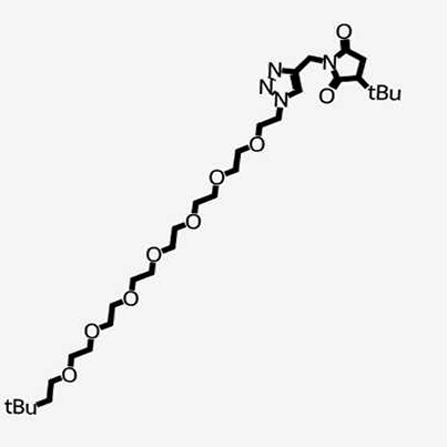 CC(C)(C)CCOCCOCCOCCOCCOCCOCCOCCn1cc(CN2C(=O)CC(C(C)(C)C)C2=O)nn1